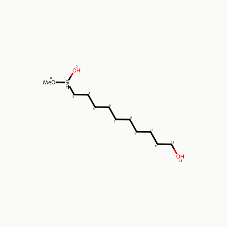 CO[SiH](O)CCCCCCCCCCO